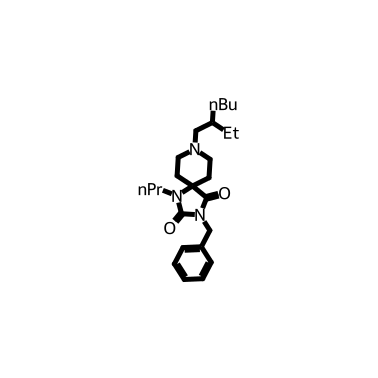 CCCCC(CC)CN1CCC2(CC1)C(=O)N(Cc1ccccc1)C(=O)N2CCC